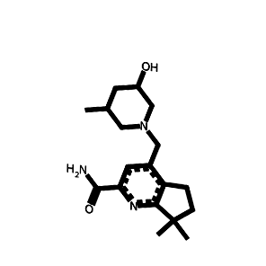 CC1CC(O)CN(Cc2cc(C(N)=O)nc3c2CCC3(C)C)C1